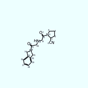 N#CC1CCCN1C(=O)CNCC(=O)N1Cc2ccccc2C1